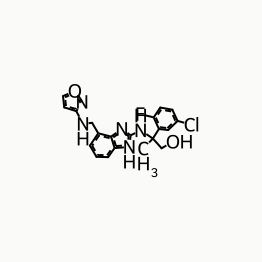 CC(CO)(Nc1nc2c(CNc3ccon3)cccc2[nH]1)c1cc(Cl)ccc1F